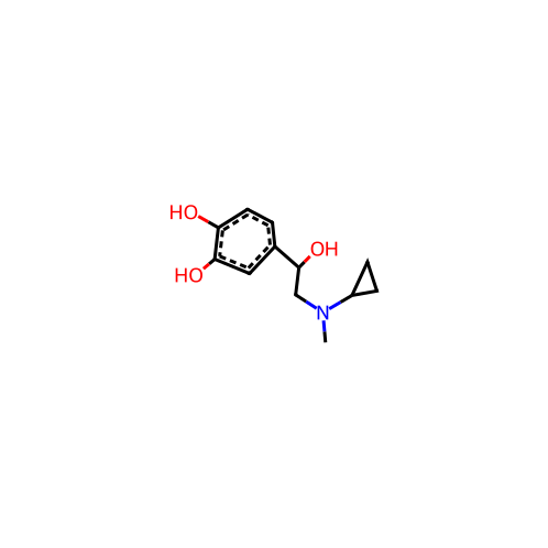 CN(CC(O)c1ccc(O)c(O)c1)C1CC1